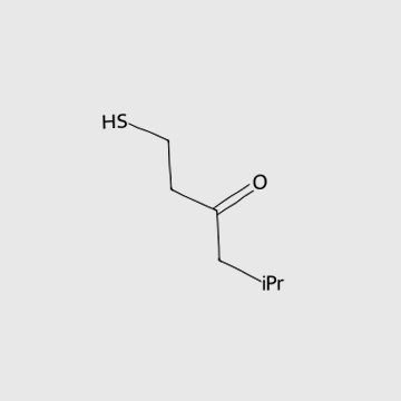 CC(C)CC(=O)CCS